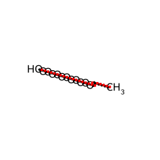 CCCCCCCCCc1ccc(OCCOCCOCCOCCOCCOCCOCCOCCOCCOCCOCCO)cc1